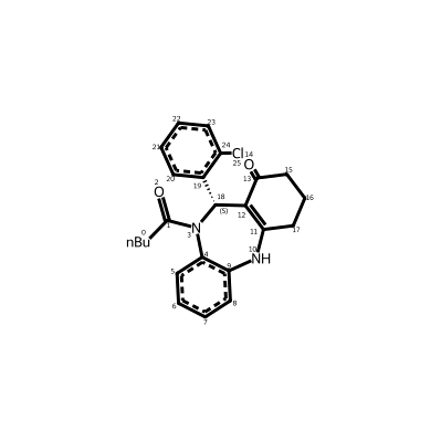 CCCCC(=O)N1c2ccccc2NC2=C(C(=O)CCC2)[C@H]1c1ccccc1Cl